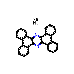 [Na].[Na].c1ccc2c(c1)c1ccccc1c1nc3c4ccccc4c4ccccc4c3nc21